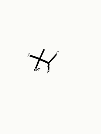 CCCC(C)(F)[C](F)F